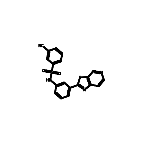 N#Cc1cccc(S(=O)(=O)Nc2cccc(-c3nc4ccncc4s3)c2)c1